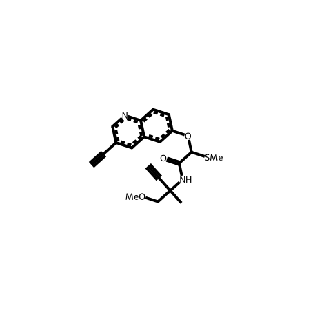 C#Cc1cnc2ccc(OC(SC)C(=O)NC(C)(C#C)COC)cc2c1